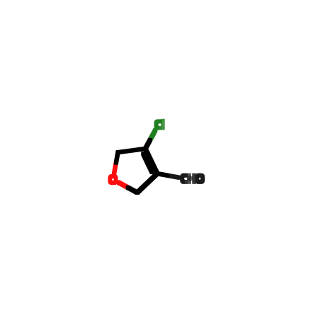 O=CC1=C(Cl)COC1